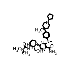 CN(C)C(=O)N[C@@H]1CCCN(c2cnc(C(N)=O)c(Nc3ccc(C4(C)CCN(C5CCCC5)CC4)cc3)n2)[C@H]1CO